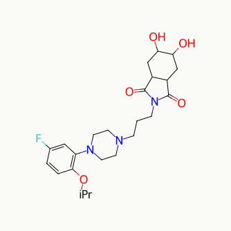 CC(C)Oc1ccc(F)cc1N1CCN(CCCN2C(=O)C3CC(O)C(O)CC3C2=O)CC1